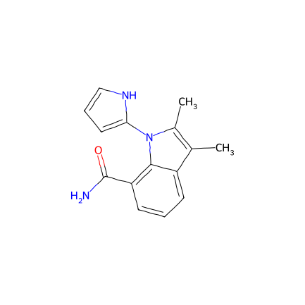 Cc1c(C)n(-c2ccc[nH]2)c2c(C(N)=O)cccc12